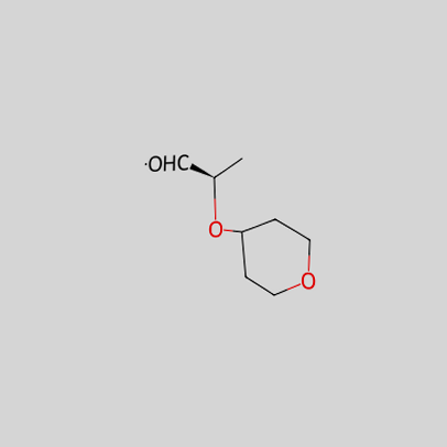 C[C@H]([C]=O)OC1CCOCC1